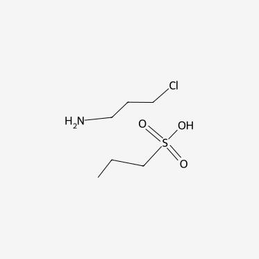 CCCS(=O)(=O)O.NCCCCl